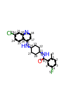 Cc1ccc(F)cc1C(=O)NC1CCC(Nc2ccnc3cc(Cl)ccc23)CC1